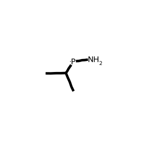 CC(C)[P]N